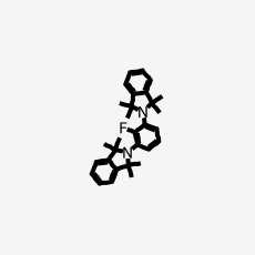 CC1(C)c2ccccc2C(C)(C)N1c1cccc(N2C(C)(C)c3ccccc3C2(C)C)c1F